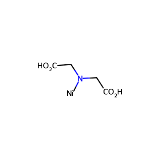 O=C(O)C[N]([Ni])CC(=O)O